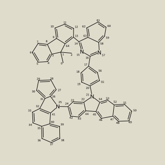 CC1(C)c2ccccc2-c2cccc(-c3nc(-c4ccc(-n5c6cc(-n7c8ccccc8c8ccc9ccccc9c87)ccc6c6cc7ccccc7cc65)cc4)nc4ccccc34)c21